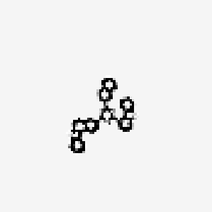 c1ccc2cc(-c3nc(-c4ccc5c(ccc6oc7ccccc7c65)c4)nc(-c4cccc5oc6ccccc6c45)n3)ccc2c1